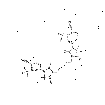 CC1(C)C(=O)N(CCCCCN2C(=O)N(c3ccc(C#N)c(C(F)(F)F)c3)C(C)(C)C2=O)C(=O)N1c1ccc(C#N)c(C(F)(F)F)c1